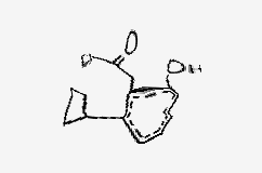 O=C(Cl)c1c(O)cccc1C1CC1